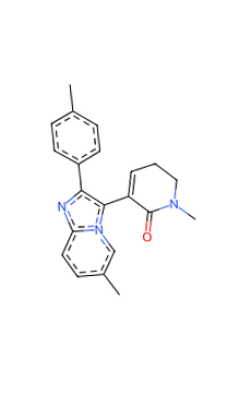 Cc1ccc(-c2nc3ccc(C)cn3c2C2=CCCN(C)C2=O)cc1